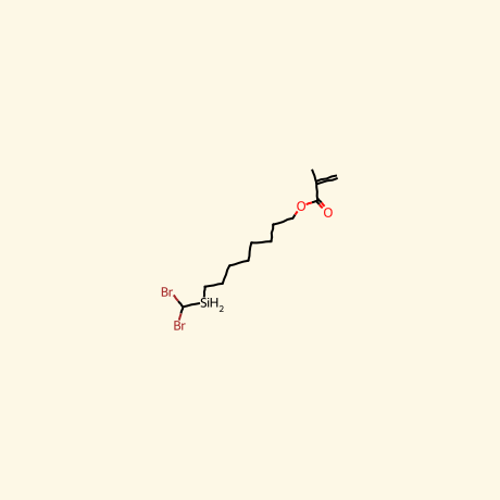 C=C(C)C(=O)OCCCCCCCC[SiH2]C(Br)Br